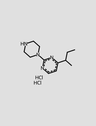 CCC(C)c1ccnc(N2CCNCC2)n1.Cl.Cl